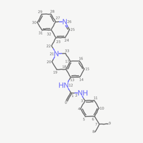 C=C(Nc1ccc(C(C)C)cc1)Nc1cccc2c1CCN(Cc1ccnc3ccccc13)C2